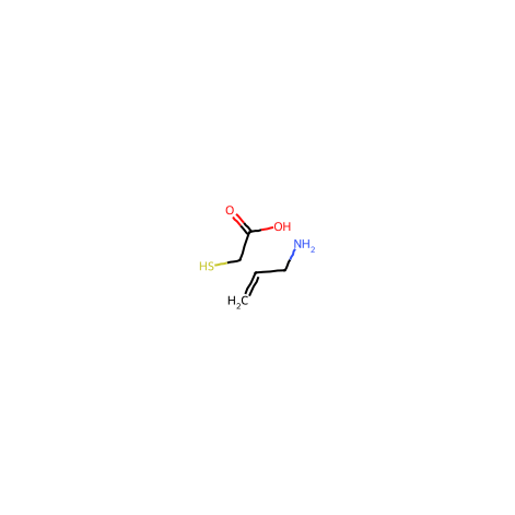 C=CCN.O=C(O)CS